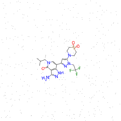 CC(C)[C@H](C)n1cc(-c2cc(N3CCS(=O)(=O)CC3)n(CC(F)(F)F)n2)c2[nH]nc(N)c2c1=O